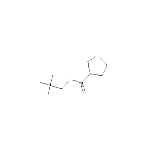 O=C(NCC(F)(F)F)C1CCNC1